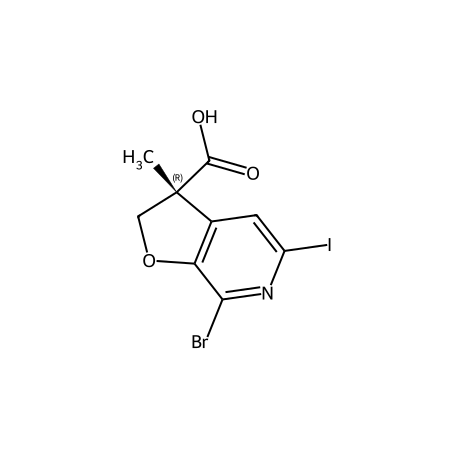 C[C@]1(C(=O)O)COc2c1cc(I)nc2Br